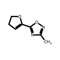 Cc1noc(C2=CCCO2)n1